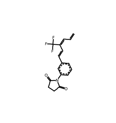 C=C/C=C(\C=C\c1cccc(N2C(=O)CCC2=O)c1)C(F)(F)F